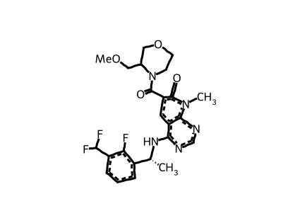 COCC1COCCN1C(=O)c1cc2c(N[C@H](C)c3cccc(C(F)F)c3F)ncnc2n(C)c1=O